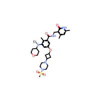 CCN(c1cc(OC2CC(N3CCN(S(C)(=O)=O)CC3)C2)cc(C(=O)NCc2c(C)cc(C)[nH]c2=O)c1C)C1CCOCC1